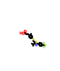 Cc1cc(SCc2sc(-c3ccc(C(F)(F)F)cc3)nc2C(C)C)ccc1CCC(=O)O